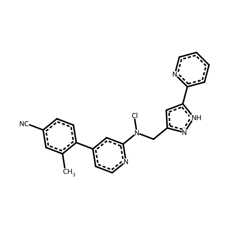 Cc1cc(C#N)ccc1-c1ccnc(N(Cl)Cc2cc(-c3ccccn3)[nH]n2)c1